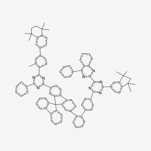 Cc1cc(-c2ccc3c(c2)C(C)(C)CCC3(C)C)ccc1-c1nc(-c2ccccc2)nc(-c2ccc3c(c2)C2(c4ccccc4-c4ccccc42)c2cc(-c4ccccc4-c4ccc(-c5nc(-c6ccc7c(c6)C(C)(C)CC7(C)C)nc(-c6nc(-c7ccccc7)c7ccccc7n6)n5)cc4)ccc2-3)n1